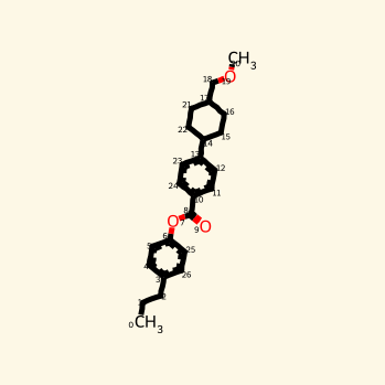 CCCc1ccc(OC(=O)c2ccc(C3CCC(COC)CC3)cc2)cc1